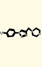 O=[N+]([O-])c1ccc(-n2cc(CN3CCOCC3)nn2)cc1